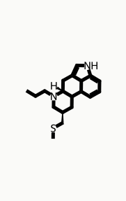 CCCN1C[C@H](CSC)CC2C3C=CC=C4NC=C(C[C@H]21)C43